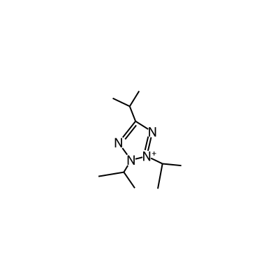 CC(C)c1nn(C(C)C)[n+](C(C)C)n1